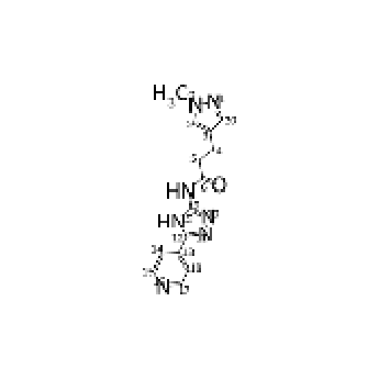 Cn1cc(CCC(=O)Nc2nnc(-c3ccncc3)[nH]2)cn1